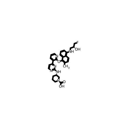 Cc1ccc2c(NC[C@@H](O)CF)cccc2c1Oc1ncccc1-c1ccnc(N[C@H]2CCCN(C(=O)O)C2)n1